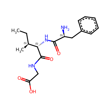 CC[C@H](C)[C@H](NC(=O)[C@@H](N)Cc1ccccc1)C(=O)NCC(=O)O